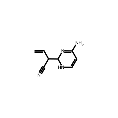 C=CC(C#N)C1N=C(N)C=CN1